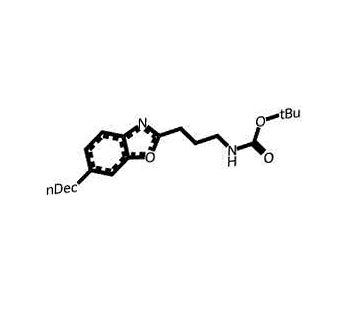 CCCCCCCCCCc1ccc2nc(CCCNC(=O)OC(C)(C)C)oc2c1